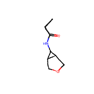 CCC(=O)NC1C2COCC21